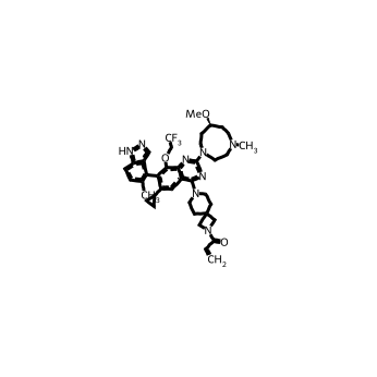 C=CC(=O)N1CC2(CCN(c3nc(N4CC[C@@H](OC)CCN(C)CC4)nc4c(OCC(F)(F)F)c(-c5c(C)ccc6[nH]ncc56)c(C5CC5)cc34)CC2)C1